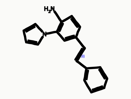 Nc1ccc(/C=C/c2ccccc2)cc1-n1cccc1